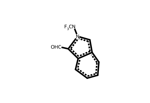 O=Cc1c2ccccc2cn1NC(F)(F)F